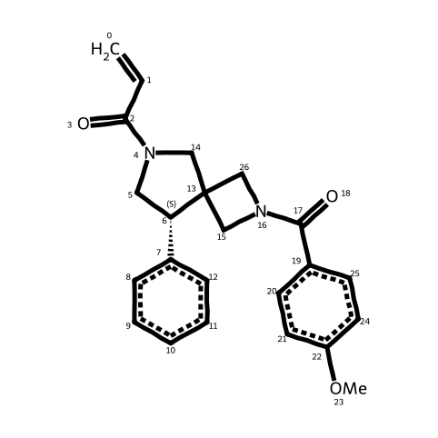 C=CC(=O)N1C[C@@H](c2ccccc2)C2(C1)CN(C(=O)c1ccc(OC)cc1)C2